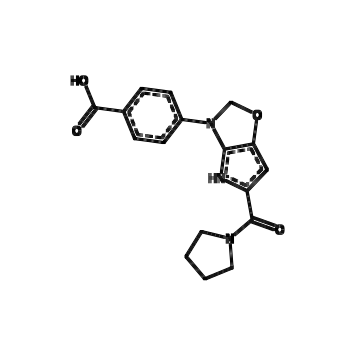 O=C(O)c1ccc(N2COc3cc(C(=O)N4CCCC4)[nH]c32)cc1